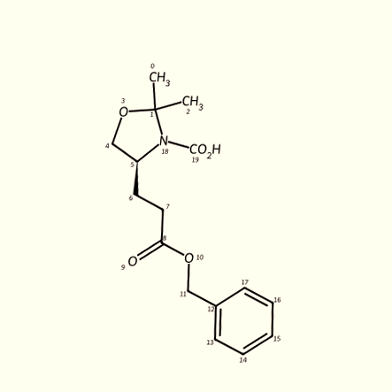 CC1(C)OC[C@H](CCC(=O)OCc2ccccc2)N1C(=O)O